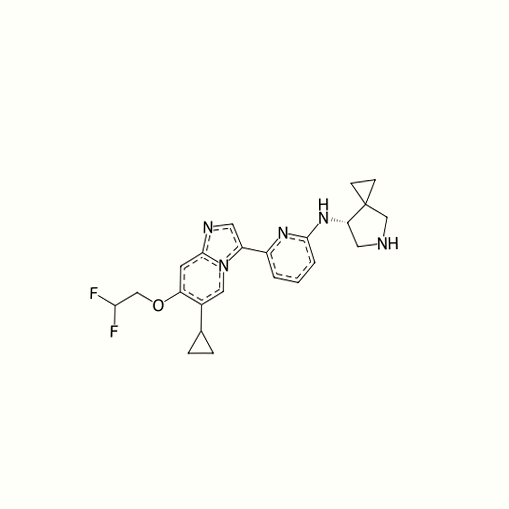 FC(F)COc1cc2ncc(-c3cccc(N[C@H]4CNCC45CC5)n3)n2cc1C1CC1